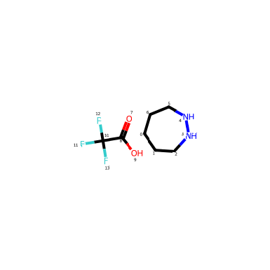 C1CCNNCC1.O=C(O)C(F)(F)F